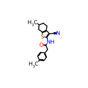 Cc1ccc(CC(=O)Nc2sc3c(c2C#N)CCC(C)C3)cc1